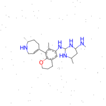 CNC1CC(C)NC(Nc2cc3c(c(C4=CCN[C@H](C)CC4)c2C)OCCC3)N1